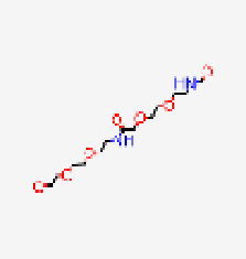 O=CCOCCOCCNC(=O)COCCOCCNC=O